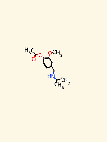 COc1cc(CNC(C)C)ccc1OC(C)=O